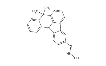 CC1(C)c2ncccc2-n2c3ccc(OBO)cc3c3cccc1c32